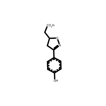 O=C(O)CC1CC(c2ccc(O)cc2)=NO1